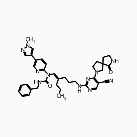 CCC/C(=C\N(C(=O)NCc1ccccc1)c1ccc(-c2cnn(C)c2)cn1)CCCNc1ncc(C#N)c(N2CCC3(CCNC3=O)C2)n1